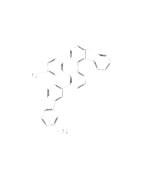 N#Cc1cccc(-c2c(-c3ccc4sc5ccc(C#N)cc5c4c3)cccc2-c2cccc3sc4ccccc4c23)c1